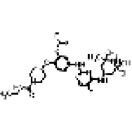 CCNC(=O)N1CCC(Oc2ccc(Nc3ncc(F)c(NC4CC(C)(C)NC(C)(C)C4)n3)cc2OC(F)F)CC1